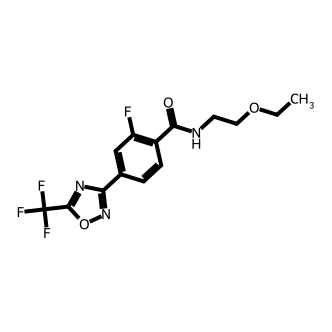 CCOCCNC(=O)c1ccc(-c2noc(C(F)(F)F)n2)cc1F